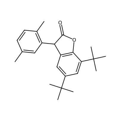 Cc1ccc(C)c(C2C(=O)Oc3c2cc(C(C)(C)C)cc3C(C)(C)C)c1